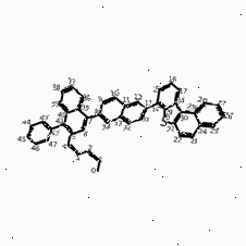 C/C=C\C=C/c1cc(-c2ccc3cc(-c4cccc5c4sc4ccc6ccccc6c45)ccc3c2)c2ccccc2c1-c1ccccc1